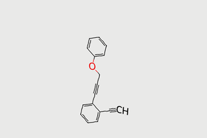 C#Cc1ccccc1C#CCOc1ccccc1